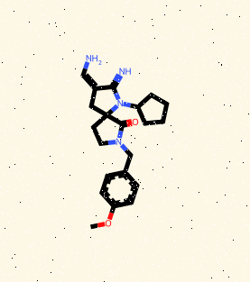 COc1ccc(CN2CCC3(C/C(=C/N)C(=N)N3C3CCCC3)C2=O)cc1